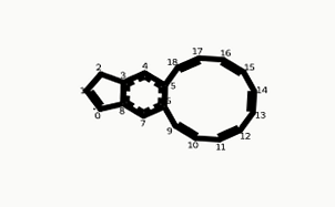 [C]1=CCc2cc3c(cc21)C=CC=CC=CC=CC=C3